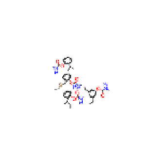 CCC(C)c1ccccc1OC(=O)NC.CCSCc1ccccc1OC(=O)NC.CCc1cc(CC)cc(OC(=O)NC)c1.CNC(=O)Oc1ccccc1C(C)C